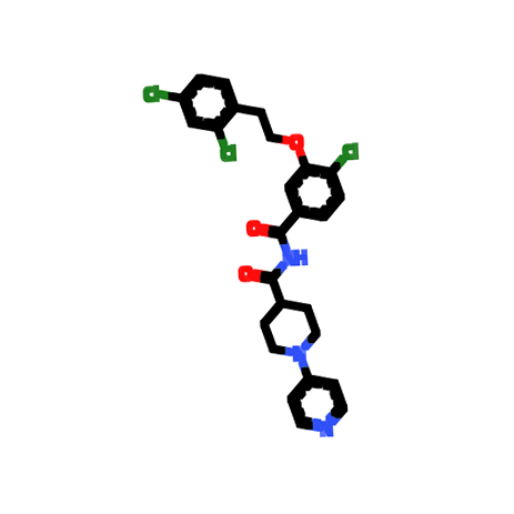 O=C(NC(=O)C1CCN(c2ccncc2)CC1)c1ccc(Cl)c(OCCc2ccc(Cl)cc2Cl)c1